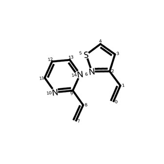 C=Cc1ccsn1.C=Cc1ncccn1